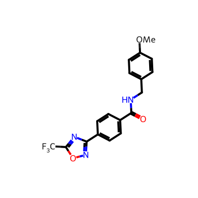 COc1ccc(CNC(=O)c2ccc(-c3noc(C(F)(F)F)n3)cc2)cc1